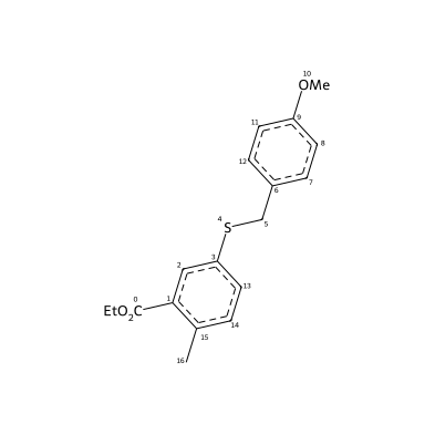 CCOC(=O)c1cc(SCc2ccc(OC)cc2)ccc1C